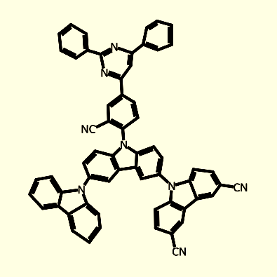 N#Cc1ccc2c(c1)c1cc(C#N)ccc1n2-c1ccc2c(c1)c1cc(-n3c4ccccc4c4ccccc43)ccc1n2-c1ccc(-c2cc(-c3ccccc3)nc(-c3ccccc3)n2)cc1C#N